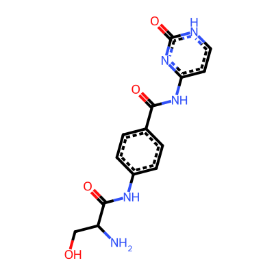 NC(CO)C(=O)Nc1ccc(C(=O)Nc2cc[nH]c(=O)n2)cc1